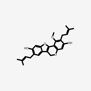 COc1c(CC=C(C)C)c(O)cc2c1-c1oc3cc(O)c(CC=C(C)C)cc3c1CO2